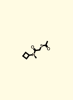 CC(=O)SCC(=O)N(C)C1CCC1